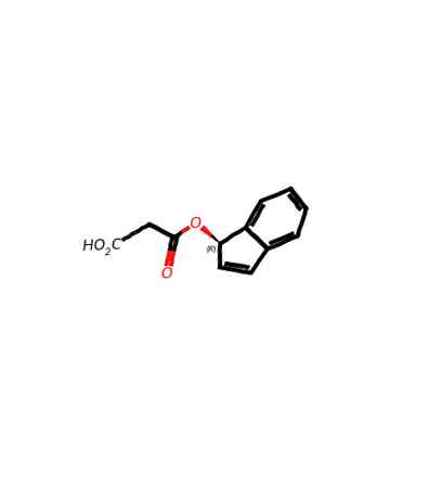 O=C(O)CC(=O)O[C@@H]1C=Cc2ccccc21